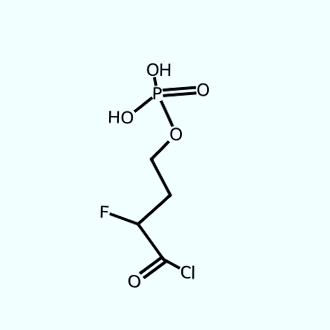 O=C(Cl)C(F)CCOP(=O)(O)O